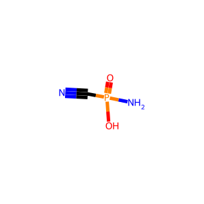 N#CP(N)(=O)O